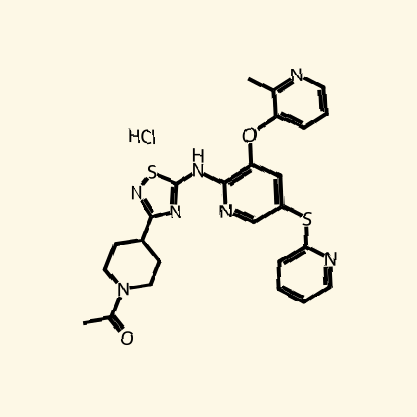 CC(=O)N1CCC(c2nsc(Nc3ncc(Sc4ccccn4)cc3Oc3cccnc3C)n2)CC1.Cl